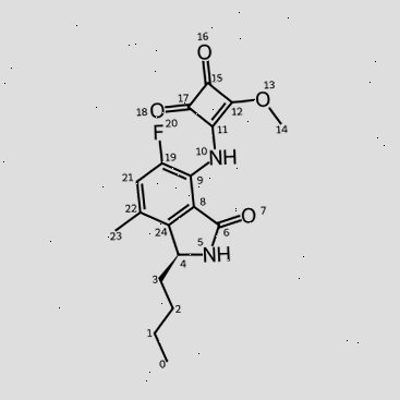 CCCC[C@@H]1NC(=O)c2c(Nc3c(OC)c(=O)c3=O)c(F)cc(C)c21